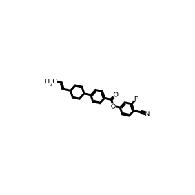 CC=CC1CCC(c2ccc(C(=O)Oc3ccc(C#N)c(F)c3)cc2)CC1